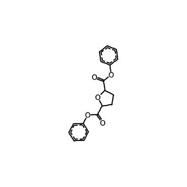 O=C(Oc1ccccc1)C1CCC(C(=O)Oc2ccccc2)O1